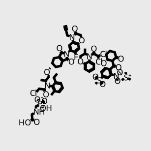 C#CCN1C(=O)COc2cc(F)c(N3C(=O)C4=C(CCCC4)C3=O)cc21.CC1COc2ccccc2N1C(=O)C(Cl)Cl.CCc1cccc(C)c1N(C(=O)CCl)C(C)COC.CS(=O)(=O)c1ccc(C(=O)C2C(=O)CCCC2=O)c([N+](=O)[O-])c1.C[S+](C)C.O=C(O)CNCP(=O)([O-])O